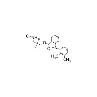 Cc1cccc(Nc2ccccc2C(=O)OCC(F)(F)CNCl)c1C